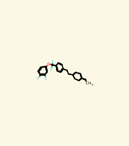 CCC1CCC(CCc2ccc(C(F)(F)Oc3ccc(F)c(F)c3)cc2)CC1